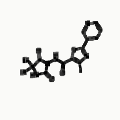 CCC1(CC)NC(=O)N(NC(=O)c2sc(-c3cccnc3)nc2C)C1=O